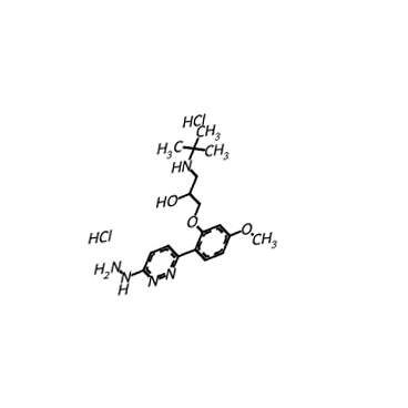 COc1ccc(-c2ccc(NN)nn2)c(OCC(O)CNC(C)(C)C)c1.Cl.Cl